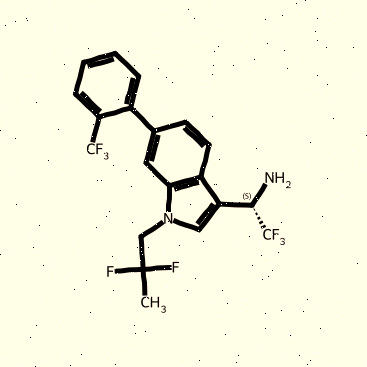 CC(F)(F)Cn1cc([C@H](N)C(F)(F)F)c2ccc(-c3ccccc3C(F)(F)F)cc21